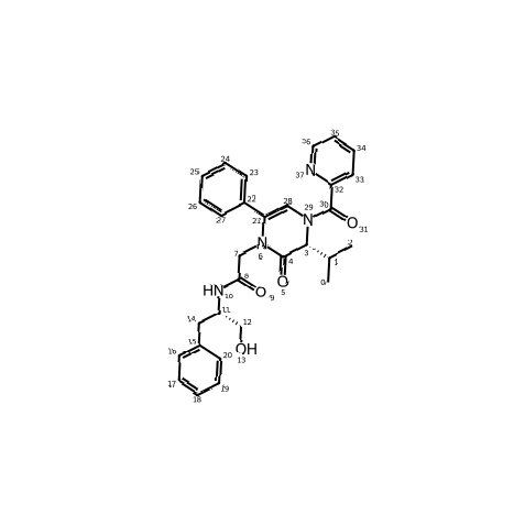 CC(C)[C@@H]1C(=O)N(CC(=O)N[C@H](CO)Cc2ccccc2)C(c2ccccc2)=CN1C(=O)c1ccccn1